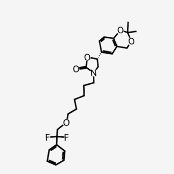 CC1(C)OCc2cc([C@@H]3CN(CCCCCCOCC(F)(F)c4ccccc4)C(=O)O3)ccc2O1